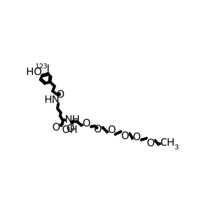 CCCOCCOCCOCCOCCOCCOCCC(=O)NC(CCCCNC(=O)CCc1ccc(O)c([123I])c1)C(=O)O